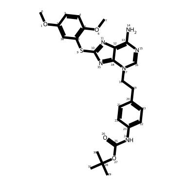 COc1ccc(OC)c(Sc2nc3c(N)ncn(CCc4ccc(NC(=O)OC(C)(C)C)cc4)c-3n2)c1